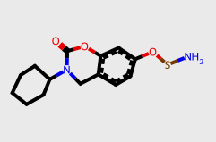 NSOc1ccc2c(c1)OC(=O)N(C1CCCCC1)C2